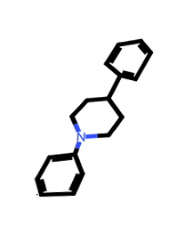 [c]1ccc(N2CCC(c3ccccc3)CC2)cc1